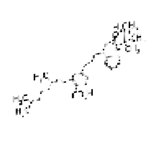 CC(C)=CCCC(C)=CCc1cc(CCCC(CB2OC(C)(C)C(C)(C)O2)c2ccccc2)ccc1C(=O)O